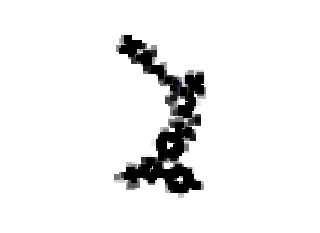 Cc1ccc(-c2cc(C(F)(F)F)nn2-c2ccc(S(=O)(=O)NC(=O)CN(/[N+]([O-])=N/OCOC(=O)OC(C)(C)C)C(C)(C)C)cc2)cc1